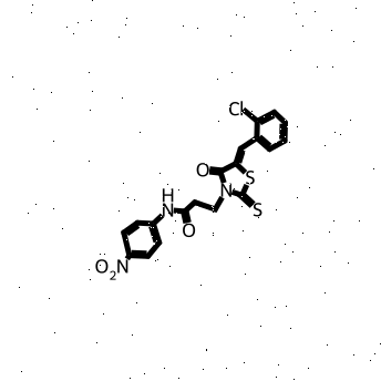 O=C(CCN1C(=O)/C(=C/c2ccccc2Cl)SC1=S)Nc1ccc([N+](=O)[O-])cc1